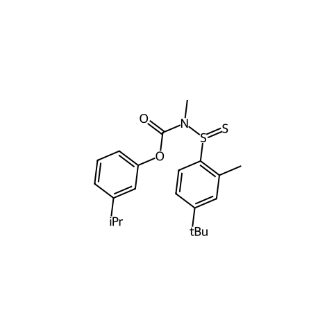 Cc1cc(C(C)(C)C)ccc1S(=S)N(C)C(=O)Oc1cccc(C(C)C)c1